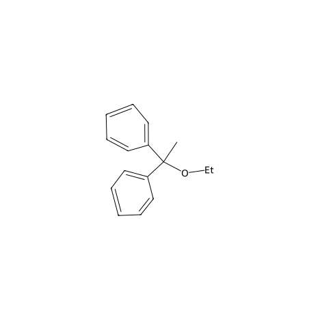 CCOC(C)(c1ccccc1)c1ccccc1